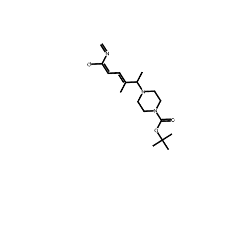 C=N/C(Cl)=C\C=C(/C)C(C)N1CCN(C(=O)OC(C)(C)C)CC1